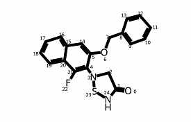 O=C1CN(c2c(OCc3ccccc3)cc3ccccc3c2F)SN1